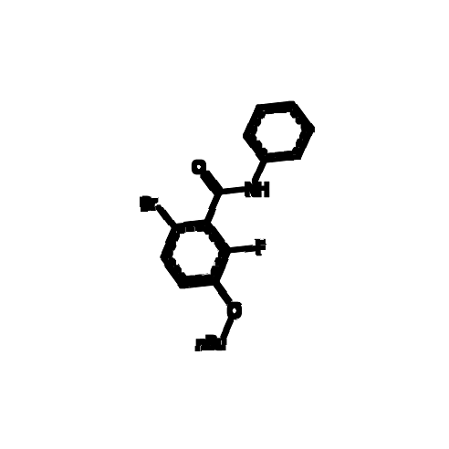 CCCCOc1ccc(Br)c(C(=O)Nc2ccccc2)c1F